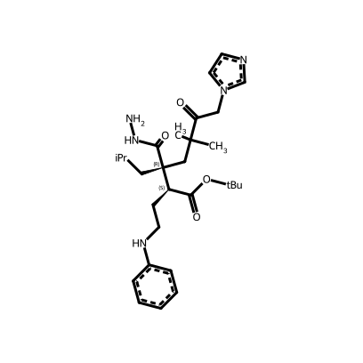 CC(C)C[C@](CC(C)(C)C(=O)Cn1ccnc1)(C(=O)NN)[C@H](CCNc1ccccc1)C(=O)OC(C)(C)C